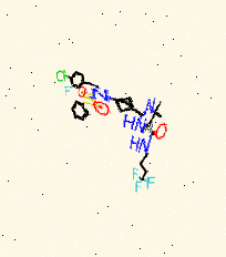 CC1(C)N=C(C23CC(N(Cc4ccc(Cl)c(F)c4)S(=O)(=O)c4ccccc4)(C2)C3)N[C@H]1C(=O)NCCCC(F)(F)F